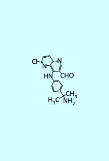 CC(C)(N)c1ccc(Nc2c(C=O)cnc3ccc(Cl)nc23)cc1